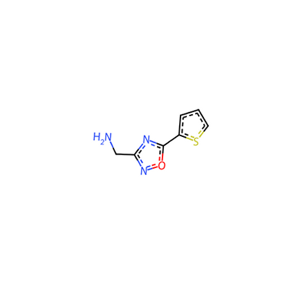 NCc1noc(-c2cccs2)n1